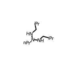 CCCN(NCC(C)C)NCC(C)C